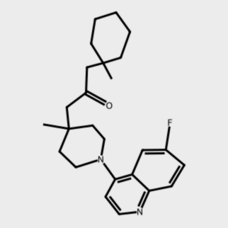 CC1(CC(=O)CC2(C)CCN(c3ccnc4ccc(F)cc34)CC2)CCCCC1